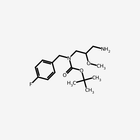 COC(CN)CN(Cc1ccc(F)cc1)C(=O)OC(C)(C)C